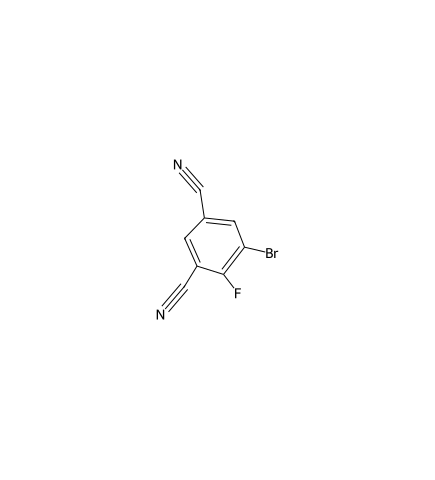 N#Cc1cc(Br)c(F)c(C#N)c1